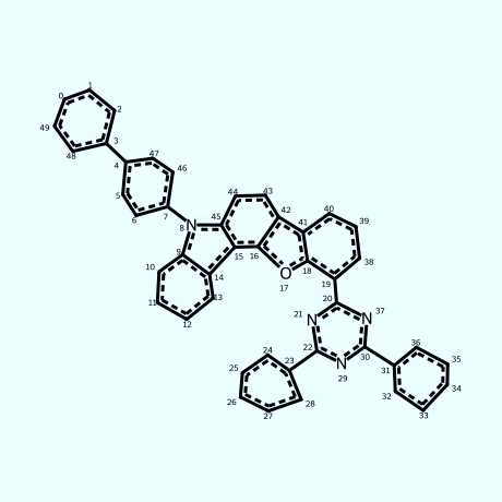 c1ccc(-c2ccc(-n3c4ccccc4c4c5oc6c(-c7nc(-c8ccccc8)nc(-c8ccccc8)n7)cccc6c5ccc43)cc2)cc1